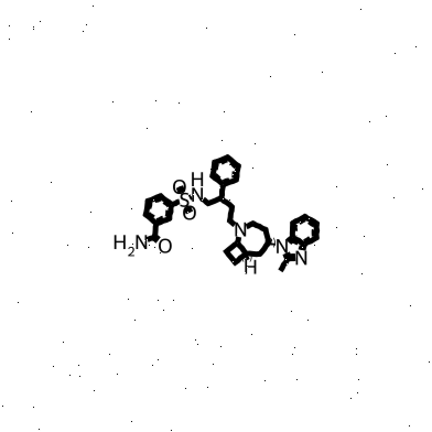 Cc1nc2ccccc2n1[C@H]1CCN(CCC(CNS(=O)(=O)c2cccc(C(N)=O)c2)c2ccccc2)C2CC[C@H]2C1